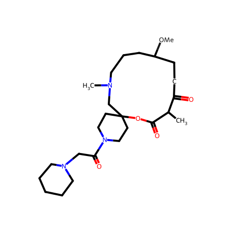 COC1CCCN(C)CC2(CCN(C(=O)CN3CCCCC3)CC2)OC(=O)C(C)C(=O)CC1